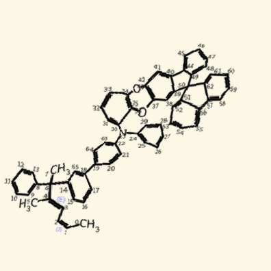 C/C=C\C=C(/C)C(C)(c1ccccc1)c1cccc(-c2ccc(N(c3ccccc3)c3cccc4c3Oc3cc5c(cc3O4)-c3ccccc3C53c4ccccc4-c4ccccc43)cc2)c1